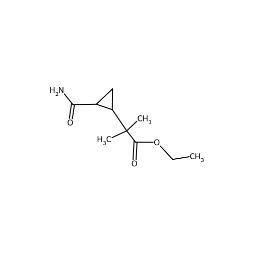 CCOC(=O)C(C)(C)C1CC1C(N)=O